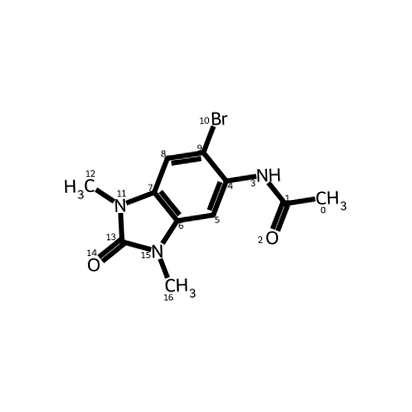 CC(=O)Nc1cc2c(cc1Br)n(C)c(=O)n2C